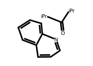 CC(C)C(=O)C(C)C.c1ccc2ncccc2c1